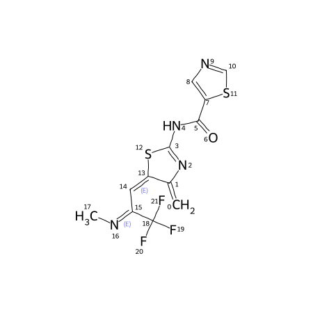 C=c1nc(NC(=O)c2cncs2)s/c1=C/C(=N\C)C(F)(F)F